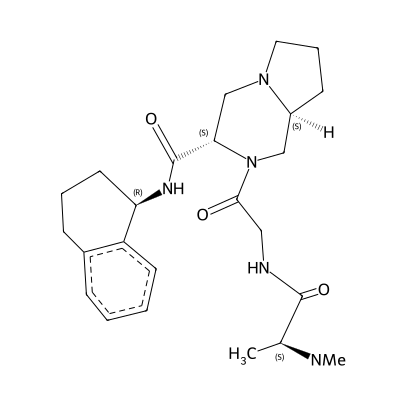 CN[C@@H](C)C(=O)NCC(=O)N1C[C@@H]2CCCN2C[C@H]1C(=O)N[C@@H]1CCCc2ccccc21